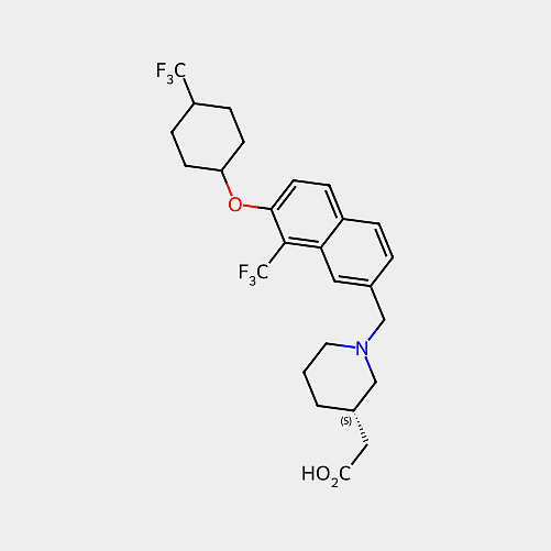 O=C(O)C[C@@H]1CCCN(Cc2ccc3ccc(OC4CCC(C(F)(F)F)CC4)c(C(F)(F)F)c3c2)C1